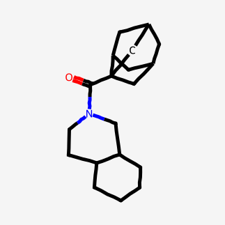 O=C(N1CCC2CCCCC2C1)C12CC3CC(CC1C3)C2